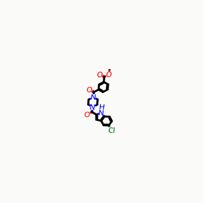 COC(=O)c1cccc(C(=O)N2CCN(C(=O)c3cc4cc(Cl)ccc4[nH]3)CC2)c1